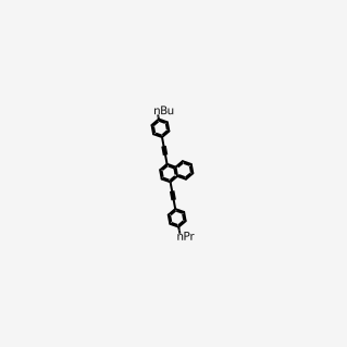 CCCCc1ccc(C#Cc2ccc(C#Cc3ccc(CCC)cc3)c3ccccc23)cc1